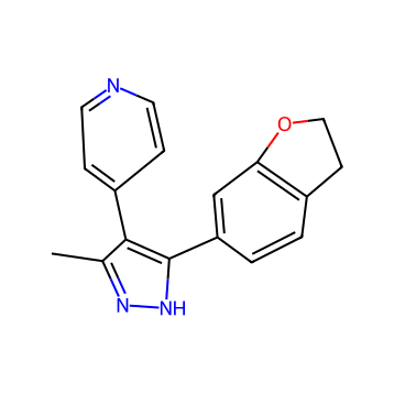 Cc1n[nH]c(-c2ccc3c(c2)OCC3)c1-c1ccncc1